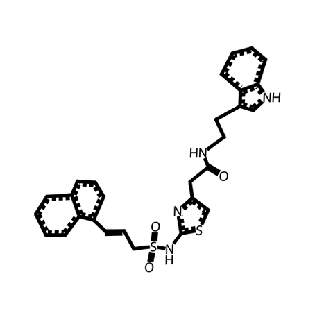 O=C(Cc1csc(NS(=O)(=O)CC=Cc2cccc3ccccc23)n1)NCCc1c[nH]c2ccccc12